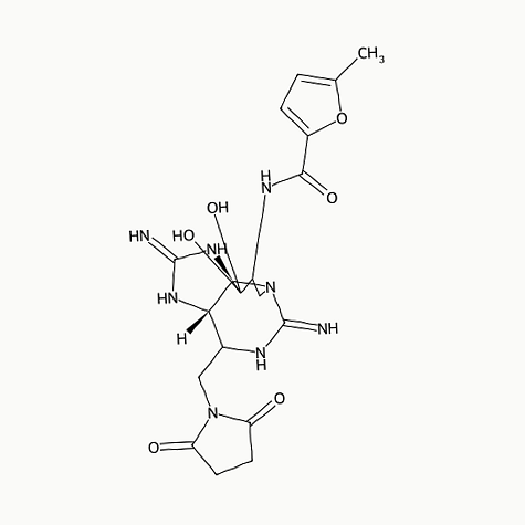 Cc1ccc(C(=O)NC2CN3C(=N)NC(CN4C(=O)CCC4=O)[C@@H]4NC(=N)N[C@@]43C2(O)O)o1